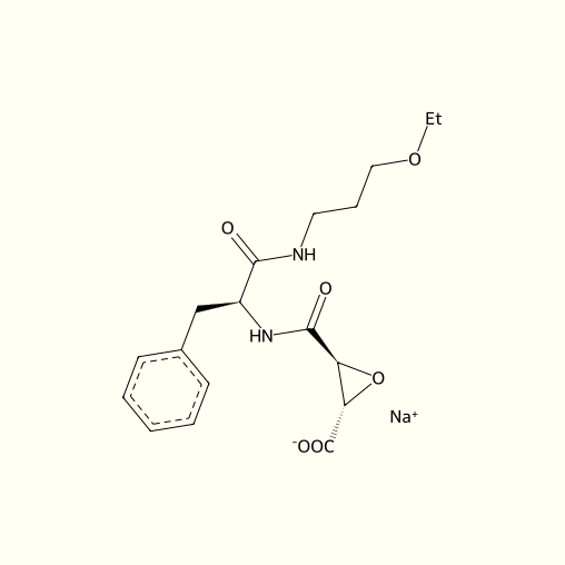 CCOCCCNC(=O)[C@H](Cc1ccccc1)NC(=O)[C@H]1O[C@@H]1C(=O)[O-].[Na+]